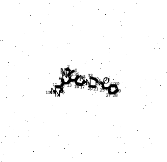 Cc1cnn2cc(-c3cnn(C)c3)cc(-c3ccc(N4CCN(C(=O)Cc5ccccc5)CC4)nc3)c12